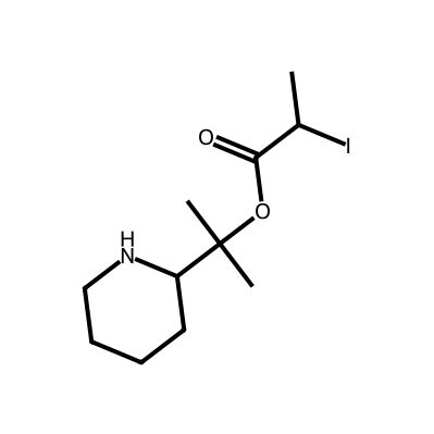 CC(I)C(=O)OC(C)(C)C1CCCCN1